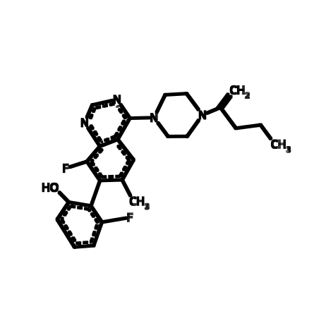 C=C(CCC)N1CCN(c2ncnc3c(F)c(-c4c(O)cccc4F)c(C)cc23)CC1